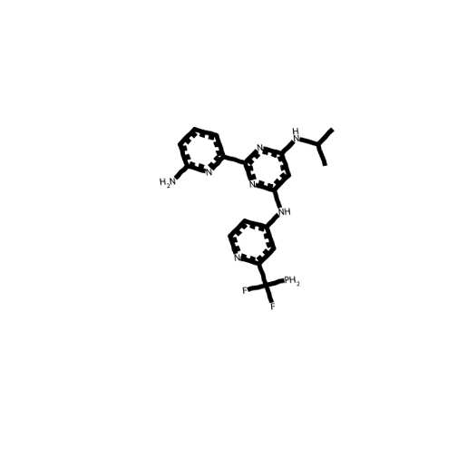 CC(C)Nc1cc(Nc2ccnc(C(F)(F)P)c2)nc(-c2cccc(N)n2)n1